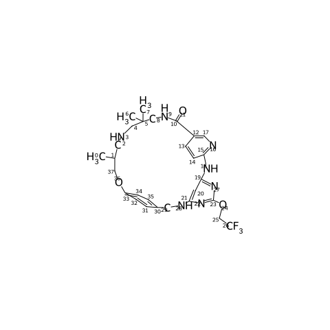 CC1CNCC(C)(C)CNC(=O)c2ccc(nc2)Nc2cc(nc(OCC(F)(F)F)n2)NCc2ccc(cc2)OC1